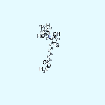 COC(=O)CCCCCC[C@H]1C(=O)C[C@@H](O)[C@@H]1/C=C/[C@H](O)C1(C)CCC1